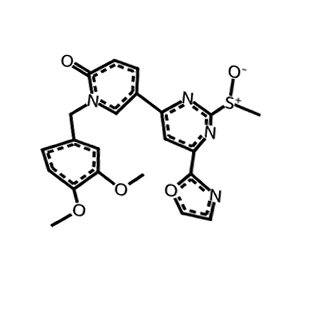 COc1ccc(Cn2cc(-c3cc(-c4ncco4)nc([S+](C)[O-])n3)ccc2=O)cc1OC